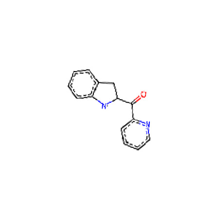 O=C(c1ccccn1)C1Cc2ccccc2[N]1